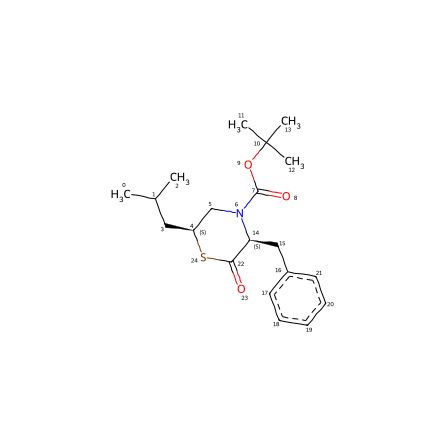 CC(C)C[C@H]1CN(C(=O)OC(C)(C)C)[C@@H](Cc2ccccc2)C(=O)S1